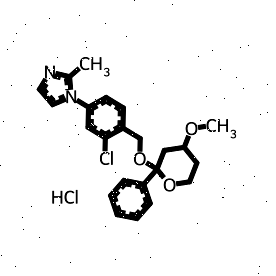 COC1CCOC(OCc2ccc(-n3ccnc3C)cc2Cl)(c2ccccc2)C1.Cl